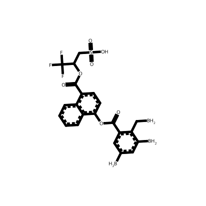 BCc1c(B)cc(B)cc1C(=O)Oc1ccc(C(=O)OC(CS(=O)(=O)O)C(F)(F)F)c2ccccc12